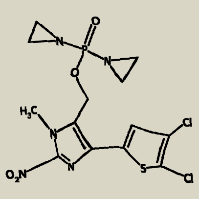 Cn1c([N+](=O)[O-])nc(-c2cc(Cl)c(Cl)s2)c1COP(=O)(N1CC1)N1CC1